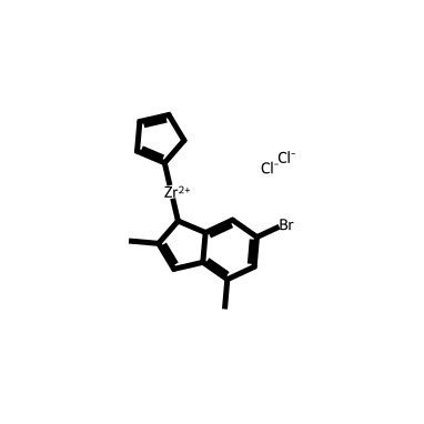 CC1=Cc2c(C)cc(Br)cc2[CH]1[Zr+2][C]1=CC=CC1.[Cl-].[Cl-]